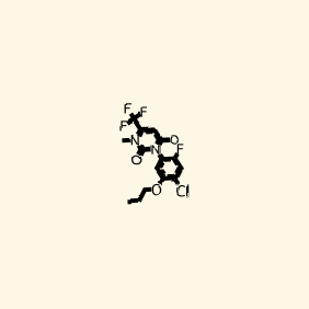 CCCOc1cc(-n2c(=O)cc(C(F)(F)F)n(C)c2=O)c(F)cc1Cl